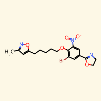 Cc1cc(CCCCCOc2c(Br)cc(C3=NCCO3)cc2[N+](=O)[O-])on1